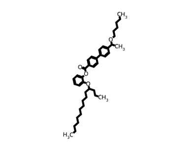 CCCCCCCCCCCC(CCC)Oc1ccccc1OC(=O)c1ccc(-c2ccc(C(C)OCCCCCC)cc2)cc1